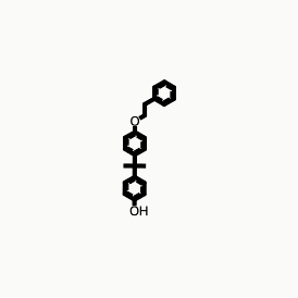 CC(C)(c1ccc(O)cc1)c1ccc(OCCc2ccccc2)cc1